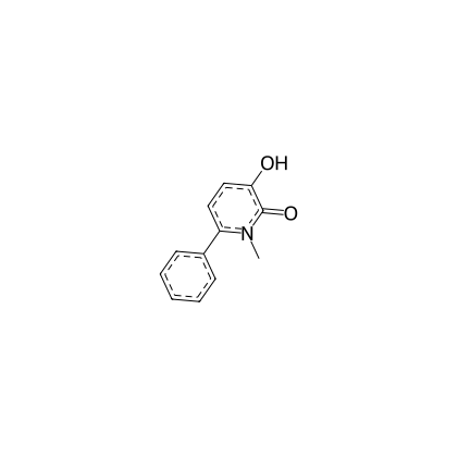 Cn1c(-c2ccccc2)ccc(O)c1=O